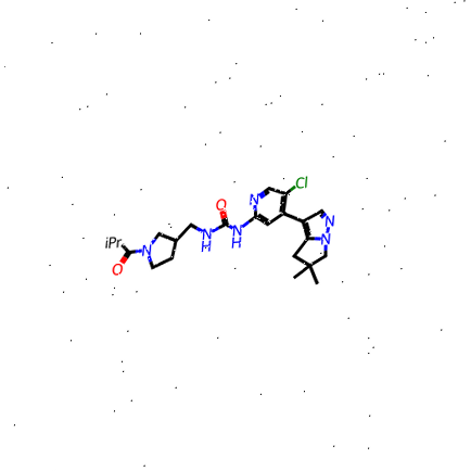 CC(C)C(=O)N1CCC(CNC(=O)Nc2cc(-c3cnn4c3CC(C)(C)C4)c(Cl)cn2)C1